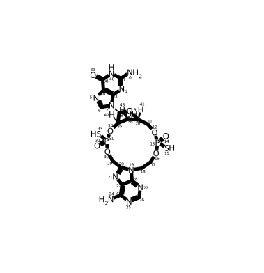 Nc1nc2c(ncn2[C@@H]2O[C@@H]3COP(=O)(S)OCCn4c(nc5c(N)ncnc54)COP(=O)(S)O[C@@H]2[C@@H]3O)c(=O)[nH]1